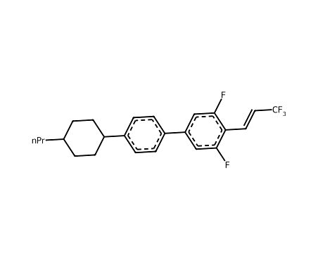 CCCC1CCC(c2ccc(-c3cc(F)c(/C=C/C(F)(F)F)c(F)c3)cc2)CC1